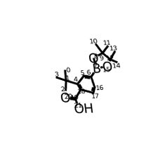 CC(C)(C)c1cc(B2OC(C)(C)C(C)(C)O2)ccc1C(=O)O